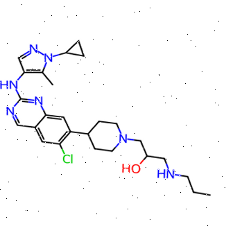 CCCNCC(O)CN1CCC(c2cc3nc(Nc4cnn(C5CC5)c4C)ncc3cc2Cl)CC1